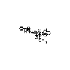 CCCN1C(=O)[C@H](CCCCNC(=O)OCc2ccccc2)NC(=O)C12CCN(S(=O)(=O)c1ccccc1I)CC2